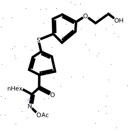 CCCCCC/C(=N/OC(C)=O)C(=O)c1ccc(Sc2ccc(OCCO)cc2)cc1